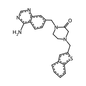 Nc1ncnc2cc(CN3CCN(Cc4cc5ccccc5s4)CC3=O)ccc12